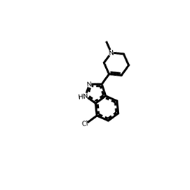 CN1CCC=C(c2n[nH]c3c(Cl)cccc23)C1